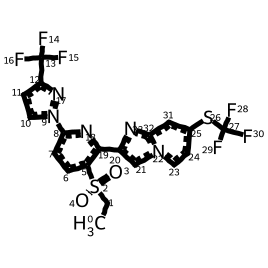 CCS(=O)(=O)c1ccc(-n2ccc(C(F)(F)F)n2)nc1-c1cn2ccc(SC(F)(F)F)cc2n1